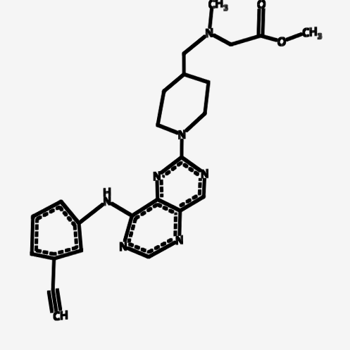 C#Cc1cccc(Nc2ncnc3cnc(N4CCC(CN(C)CC(=O)OC)CC4)nc23)c1